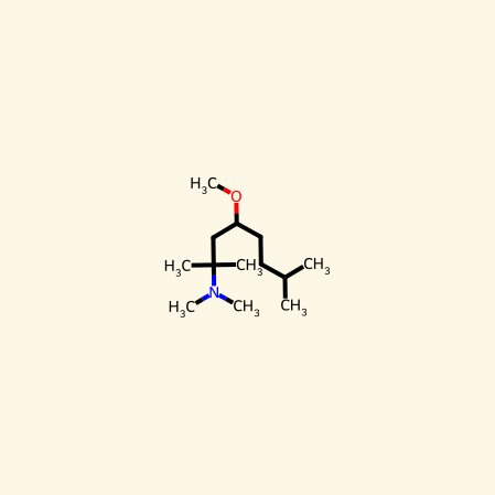 COC(CCC(C)C)CC(C)(C)N(C)C